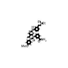 CCN(CC)CCc1cccc(Nc2ncc3c(n2)N(c2cccc(C(N)=O)c2)C(=O)N(c2ccc(OC)cc2)C3C)c1